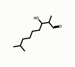 CC(C)CCCCC(O)C(C)C=O